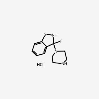 Cl.FC1(N2CCNCC2)NSc2ccccc21